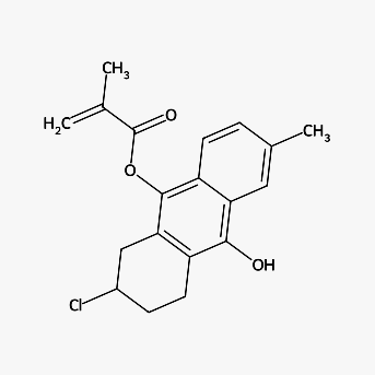 C=C(C)C(=O)Oc1c2c(c(O)c3cc(C)ccc13)CCC(Cl)C2